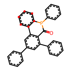 O=C(c1c(-c2ccccc2)cc(-c2ccccc2)cc1-c1ccccc1)P(c1ccccc1)c1ccccc1